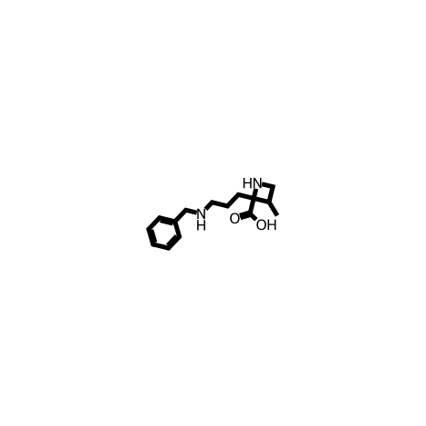 CC1CNC1(CCCNCc1ccccc1)C(=O)O